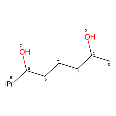 CC(O)CCCC(O)C(C)C